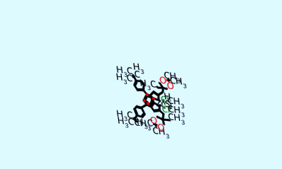 CCC1(CC2=Cc3c(-c4ccc(C(C)(C)C)cc4)cccc3[CH]2[Zr]([Cl])([Cl])([CH]2C(CC3(CC)COC(C)(C)OC3)=Cc3c(-c4ccc(C(C)(C)C)cc4)cccc32)[SiH](C)C)COC(C)(C)OC1